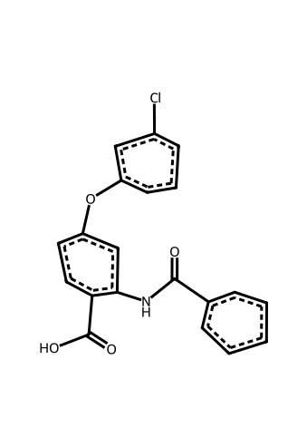 O=C(Nc1cc(Oc2cccc(Cl)c2)ccc1C(=O)O)c1ccccc1